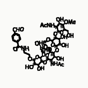 CO[C@@H]1C(CO)O[C@H](O[C@@H]2C(OC=O)O[C@@H](O[C@@H]3C(CO)O[C@H](O[C@@H]4C(OC=O)O[C@@H](OCCNC(=O)c5ccc(C=O)cc5)[C@@H](O)C4O)[C@@H](NC(C)=O)C3O)[C@@H](O)C2O)[C@@H](NC(C)=O)C1O